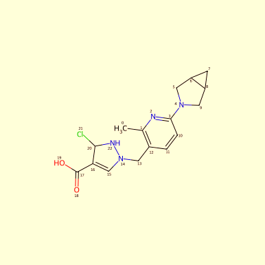 Cc1nc(N2CC3CC3C2)ccc1CN1C=C(C(=O)O)C(Cl)N1